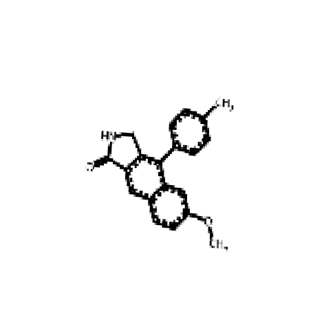 COc1ccc2cc3c(c(-c4ccc(C)cc4)c2c1)CNC3=O